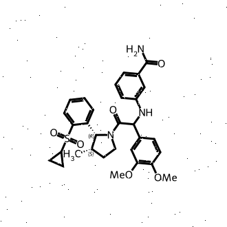 COc1ccc(C(Nc2cccc(C(N)=O)c2)C(=O)N2CC[C@H](C)[C@@H]2c2ccccc2S(=O)(=O)C2CC2)cc1OC